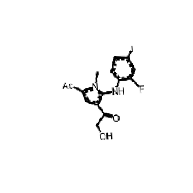 CC(=O)c1cc(C(=O)CO)c(Nc2ccc(I)cc2F)n1C